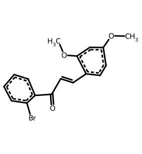 COc1ccc(C=CC(=O)c2ccccc2Br)c(OC)c1